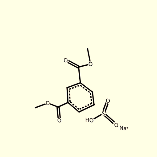 COC(=O)c1cccc(C(=O)OC)c1.O=[S-](=O)O.[Na+]